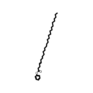 CCCCCCCCCCCCCCCCCCCCCCCC/C=C/CCC(=O)Oc1ccccc1